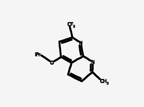 Cc1ccc2c(OC(C)C)cc(C(F)(F)F)nc2n1